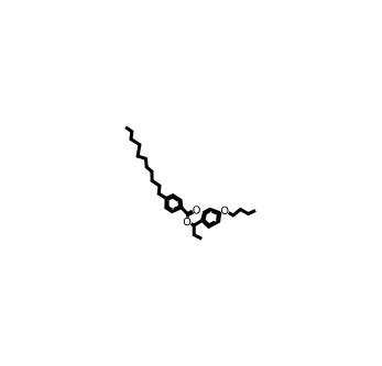 CCCCCCCCCCCc1ccc(C(=O)OC(CC)c2ccc(OCCCC)cc2)cc1